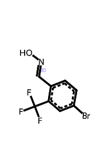 O/N=C/c1ccc(Br)cc1C(F)(F)F